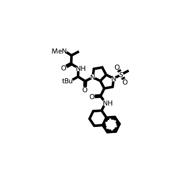 CNC(C)C(=O)NC(C(=O)N1CCC2C1C(C(=O)NC1CCCc3ccccc31)CN2S(C)(=O)=O)C(C)(C)C